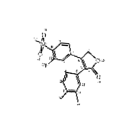 Cc1ccc(C2=C(c3ccc(S(C)(=O)=O)c(F)c3)COC2=O)cc1C